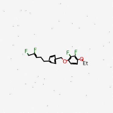 CCOc1ccc(OCc2ccc(CCC=C(F)CF)cc2)c(F)c1F